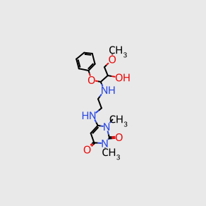 COCC(O)C(NCCNc1cc(=O)n(C)c(=O)n1C)Oc1ccccc1